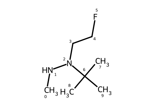 CNN(CCF)C(C)(C)C